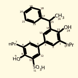 CCCc1cc(-c2cc(CCC)c(O)c(S(=O)(=O)O)c2)cc(C(C)c2ccccc2)c1O